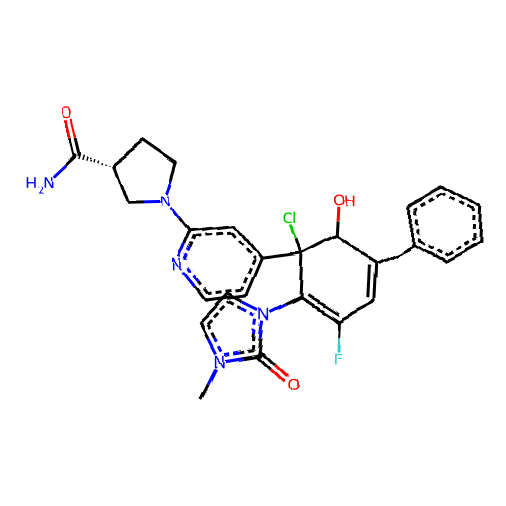 Cn1ccn(C2=C(F)C=C(c3ccccc3)C(O)C2(Cl)c2ccnc(N3CC[C@@H](C(N)=O)C3)c2)c1=O